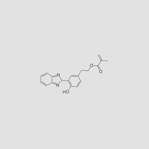 C=C(C)C(=O)OCCc1ccc(O)c(C2N=c3ccccc3=N2)c1